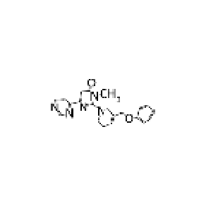 Cn1c(N2CCC=C(COc3ccccc3)C2)nc(-c2ccncn2)cc1=O